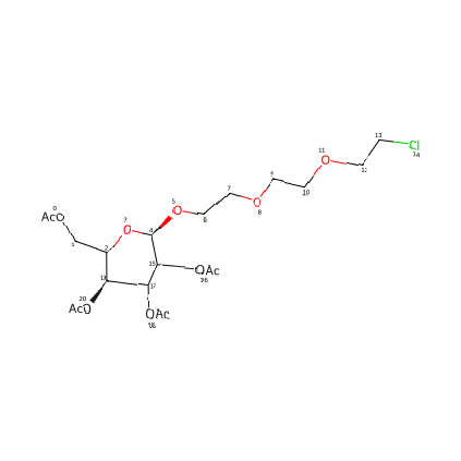 CC(=O)OCC1O[C@@H](OCCOCCOCCCl)C(OC(C)=O)C(OC(C)=O)[C@H]1OC(C)=O